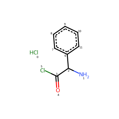 Cl.NC(C(=O)Cl)c1ccccc1